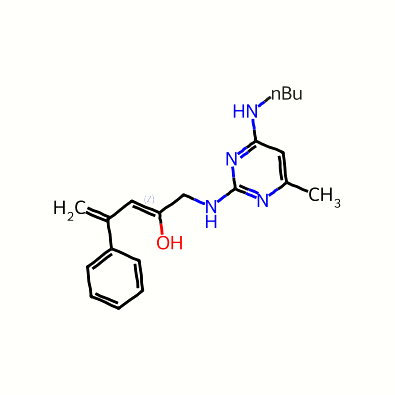 C=C(/C=C(\O)CNc1nc(C)cc(NCCCC)n1)c1ccccc1